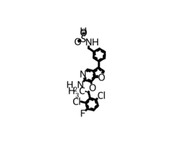 C[C@@H](Oc1c(N)ncc2c(-c3cccc(CN[SH](=O)=O)c3)coc12)c1c(Cl)ccc(F)c1Cl